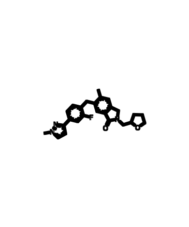 Cc1cc2c(cc1Cc1ccc(-c3ccn(C)n3)cc1F)C(=O)N(CC1CCCO1)C2